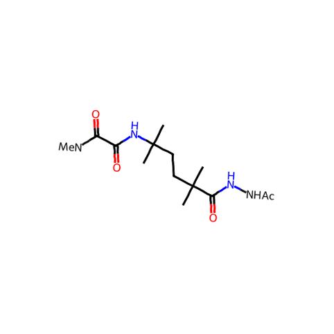 CNC(=O)C(=O)NC(C)(C)CCC(C)(C)C(=O)NNC(C)=O